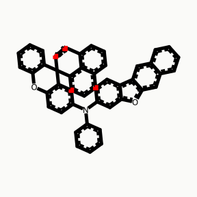 c1ccc(N(c2ccc3c(c2)C2(c4ccccc4O3)c3ccccc3-c3cccc4cccc2c34)c2ccc3c(c2)oc2cc4ccccc4cc23)cc1